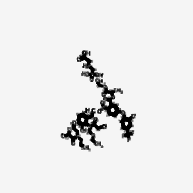 C=CCN(CC=C)C(=O)C(Cl)Cl.CCOC(=O)C(C)OC(=O)c1cc(Oc2ccc(C(F)(F)F)cc2Cl)ccc1[N+](=O)[O-].CCOCN(C(=O)CCl)c1c(C)cccc1CC.O=C(O)CNCP(=O)(O)O